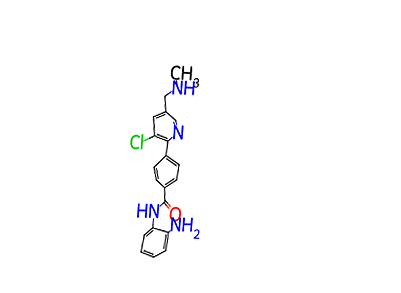 CNCc1cnc(-c2ccc(C(=O)Nc3ccccc3N)cc2)c(Cl)c1